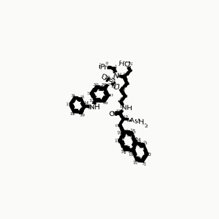 CC(C)CN(C(CO)CCCCNC(=O)C([AsH2])Cc1ccc2ccccc2c1)S(=O)(=O)c1ccc(Nc2ccccc2)cc1